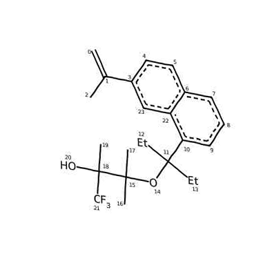 C=C(C)c1ccc2cccc(C(CC)(CC)OC(C)(C)C(C)(O)C(F)(F)F)c2c1